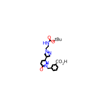 CC(C)(C)OC(=O)NCCn1cc(-c2ccc(=O)n(Cc3cccc(C(=O)O)c3)n2)cn1